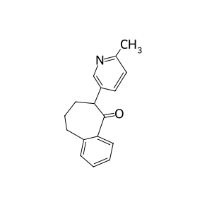 Cc1ccc(C2CCCc3ccccc3C2=O)cn1